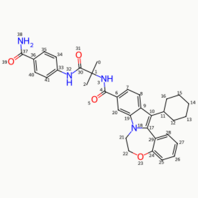 CC(C)(NC(=O)c1ccc2c(C3CCCCC3)c3n(c2c1)CCOc1ccccc1-3)C(=O)Nc1ccc(C(N)=O)cc1